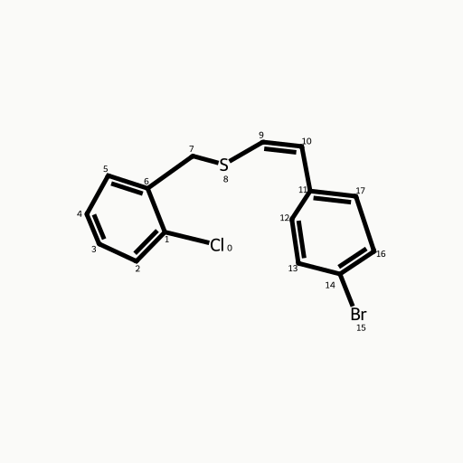 Clc1ccccc1CS/C=C\c1ccc(Br)cc1